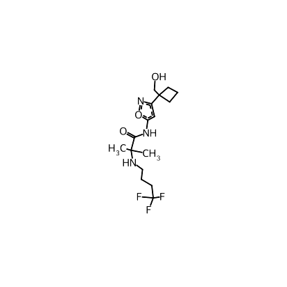 CC(C)(NCCCC(F)(F)F)C(=O)Nc1cc(C2(CO)CCC2)no1